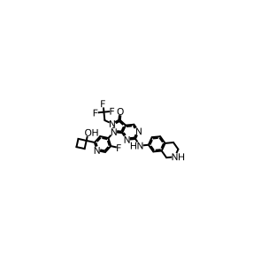 O=c1c2cnc(Nc3ccc4c(c3)CNCC4)nc2n(-c2cc(C3(O)CCC3)ncc2F)n1CC(F)(F)F